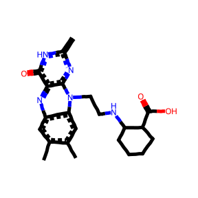 C=c1nc2c(c(=O)[nH]1)=Nc1cc(C)c(C)cc1N2CCNC1CCCCC1C(=O)O